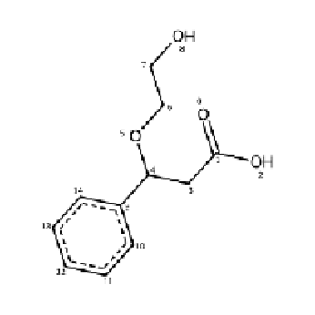 O=C(O)CC(OCCO)c1ccccc1